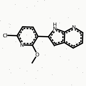 COc1nc(Cl)ccc1-c1[c]c2cccnc2[nH]1